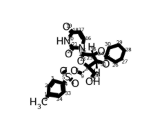 Cc1ccc(S(=O)(=O)OC[C@]2(CO)O[C@@H](n3ccc(=O)[nH]c3=O)[C@@H]3OC4(CCCCC4)O[C@@H]32)cc1